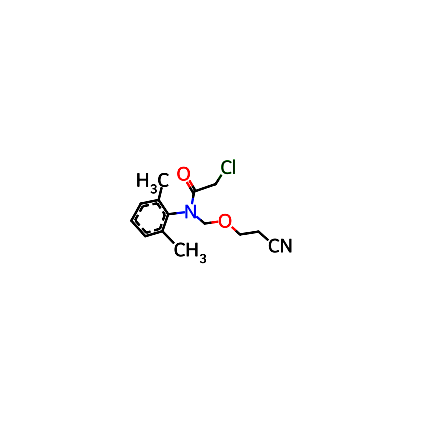 Cc1cccc(C)c1N(COCCC#N)C(=O)CCl